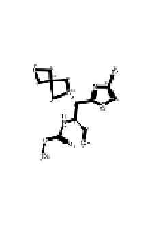 CC(C)(C)OC(=O)N[C@H](CO)[C@@H](c1nc(Br)cs1)N1CC2(COC2)C1